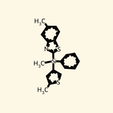 Cc1ccc2sc([Si](C)(c3ccccc3)c3csc(C)c3)nc2c1